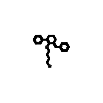 BrCCCCOC1=C(c2ccccc2)CCCC1=Cc1ccccc1